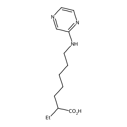 CCC(CCCCCNc1cnccn1)C(=O)O